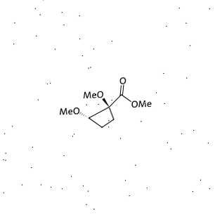 COC(=O)[C@]1(OC)CC[C@@H]1OC